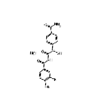 CC(C)(C)c1ccc(C(=O)NC(=O)N(S)c2ccc(C(N)=O)cc2)cc1Br.Cl